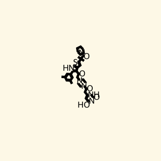 Cc1cc(C)cc(-c2[nH]c3sc(C(C)(C)C(=O)N4C5CCC4CC5)cc3c2C(=O)CN2CCN(C(=O)Cc3cc(O)nc(=O)[nH]3)CC2)c1